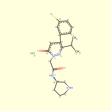 CC(C)c1nn(CC(=O)N[C@@H]2CCCNC2)c(=O)cc1-c1cccc(F)c1.Cl